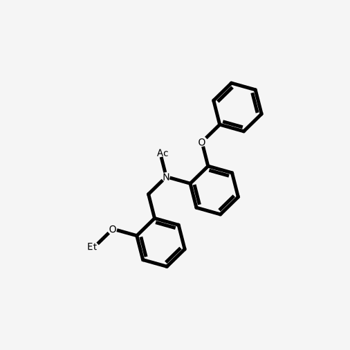 CCOc1ccccc1CN(C(C)=O)c1ccccc1Oc1ccccc1